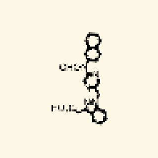 O=CN(c1ccc2ccccc2c1)c1cnc(Cn2nc(CC(=O)O)c3ccccc32)cn1